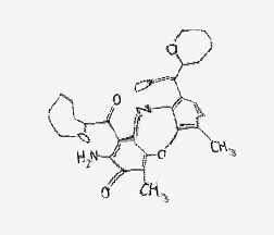 Cc1c2oc3c(C)ccc(C(=O)C4CCCCO4)c3nc-2c(C(=O)C2CCCCO2)c(N)c1=O